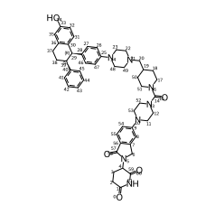 O=C1CCC(N2Cc3cc(N4CCN(C(=O)N5CCC(CN6CCN(c7ccc([C@@H]8c9ccc(O)cc9CC[C@@H]8c8ccccc8)cc7)CC6)CC5)CC4)ccc3C2=O)C(=O)N1